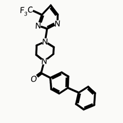 O=C(c1ccc(-c2ccccc2)cc1)N1CCN(c2nccc(C(F)(F)F)n2)CC1